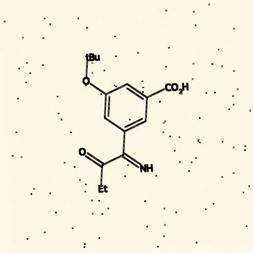 CCC(=O)C(=N)c1cc(OC(C)(C)C)cc(C(=O)O)c1